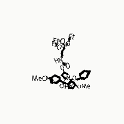 CCO[Si](CCCNC(=O)O[C@@H]1C[C@@H](C(O)(c2ccc(OC)cc2)c2ccc(OC)cc2)N(C(=O)OCc2ccccc2)C1)(OCC)OCC